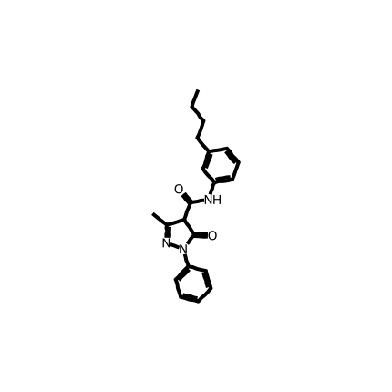 CCCCc1cccc(NC(=O)C2C(=O)N(c3ccccc3)N=C2C)c1